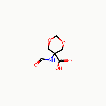 O=CNC1(C(=O)O)COCOC1